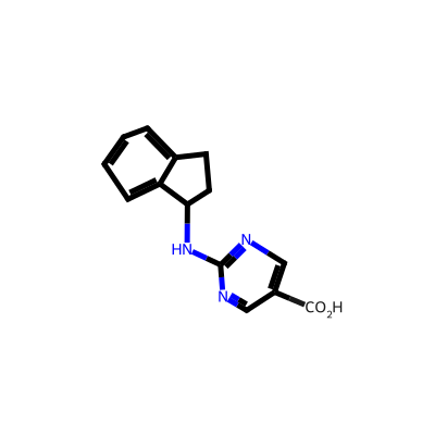 O=C(O)c1cnc(NC2CCc3ccccc32)nc1